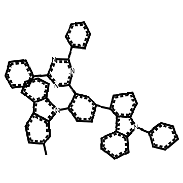 Cc1ccc2c3ccccc3n(-c3ccc(-c4cccc5c4c4ccccc4n5-c4ccccc4)cc3-c3nc(-c4ccccc4)nc(-c4ccccc4)n3)c2c1